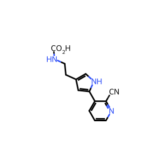 N#Cc1ncccc1-c1cc(CCNC(=O)O)c[nH]1